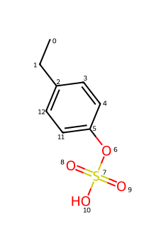 CCc1ccc(OS(=O)(=O)O)cc1